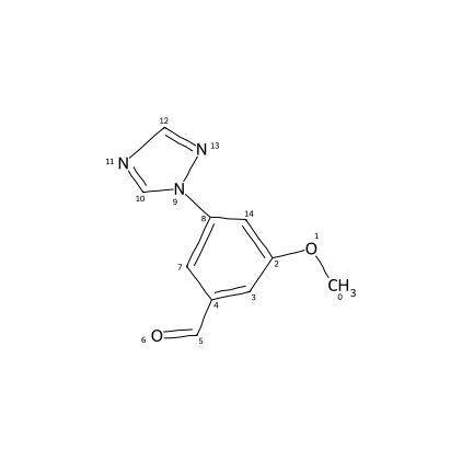 COc1cc(C=O)cc(-n2cncn2)c1